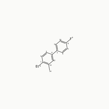 CCc1ccc(-c2ccc(F)cc2)cc1C